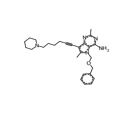 Cc1nc(N)c2c(n1)c(C#CCCCCN1CCCCC1)c(C)n2COCc1ccccc1